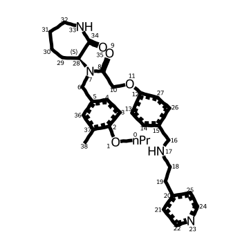 CCCOc1ccc(CN(C(=O)COc2ccc(CNCCc3ccncc3)cc2)[C@H]2CCCCNC2=O)cc1C